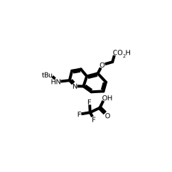 CC(C)(C)Nc1ccc2c(OCC(=O)O)cccc2n1.O=C(O)C(F)(F)F